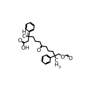 CC(CCCC(=O)CCCC(C)(CC(=O)O)c1ccccc1)(COC=O)c1ccccc1